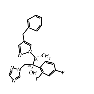 C[C@@H](n1cc(Cc2ccccc2)cn1)[C@](O)(Cn1cncn1)c1ccc(F)cc1F